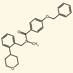 CN(Cc1ccccc1C1CCOCC1)C(=O)c1ccc(OCc2ccccc2)cc1